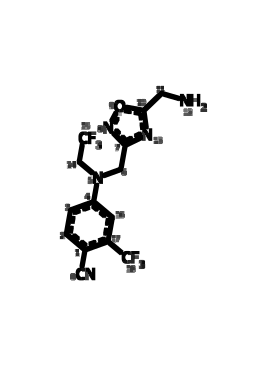 N#Cc1ccc(N(Cc2noc(CN)n2)CC(F)(F)F)cc1C(F)(F)F